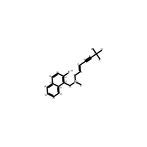 CN(C/C=C/C#CC(C)(C)C)Cc1c(F)ccc2ccccc12